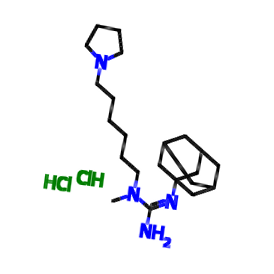 CN(CCCCCCN1CCCC1)C(N)=NC12CC3CC(CC(C3)C1)C2.Cl.Cl